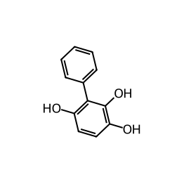 Oc1ccc(O)c(-c2ccccc2)c1O